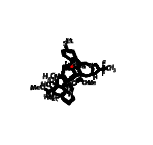 CCSc1ccc2[nH]c3c(c2c1)CN1CC(C(C)(F)F)C[C@@H](C1)C[C@]3(C(=O)OC)c1cc2c(cc1OC)N(C)[C@H]1[C@@](O)(C(=O)OC)[C@H](O)[C@]3(CC)C=CCN4CC[C@]21[C@@H]43